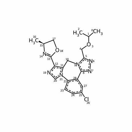 CC(C)OCc1nnc2n1Cc1c(C3=N[C@@H](C)CO3)ncn1-c1ccc(Cl)cc1-2